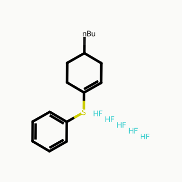 CCCCC1CC=C(Sc2ccccc2)CC1.F.F.F.F.F